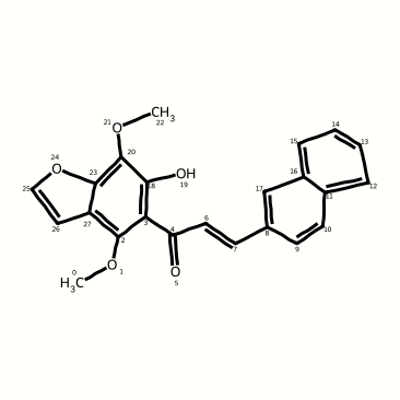 COc1c(C(=O)C=Cc2ccc3ccccc3c2)c(O)c(OC)c2occc12